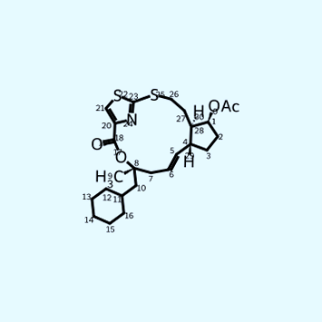 CC(=O)O[C@H]1CC[C@@H]2/C=C/C[C@](C)(CC3CCCCC3)OC(=O)c3csc(n3)SCC[C@@H]12